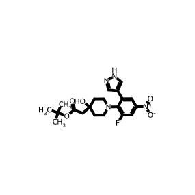 CC(C)(C)OC(=O)CC1(O)CCN(c2c(F)cc([N+](=O)[O-])cc2-c2cn[nH]c2)CC1